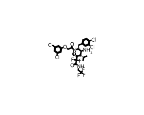 CC(C)[C@H](C(=O)C(F)(F)C(=O)NCC(F)(F)F)C(N)[C@H](Cc1ccc(Cl)c(Cl)c1)NC(=O)COc1cc(Cl)cc(Cl)c1